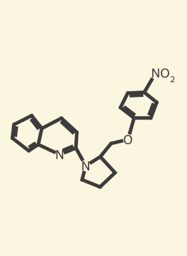 O=[N+]([O-])c1ccc(OCC2CCCN2c2ccc3ccccc3n2)cc1